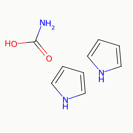 NC(=O)O.c1cc[nH]c1.c1cc[nH]c1